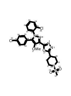 COc1c(-c2nnc(C3CCN(S(C)(=O)=O)CC3)o2)nn(-c2ccccc2Cl)c1-c1ccc(Cl)cc1